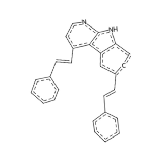 C(=Cc1ccc2[nH]c3nccc(C=Cc4ccccc4)c3c2c1)c1ccccc1